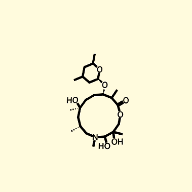 CC1CC(C)O[C@@H](O[C@H]2CC[C@](C)(O)C[C@@H](C)CN(C)C(O)C(C)(O)COC(=O)C2C)C1